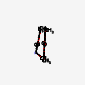 CCCCCCCC/C=C\CCCCCCCC(=O)OCCCCCCCCCCCCCCCCCC.CCCCCCCCCCCCCCCCCCOC(=O)CCCCCCCCCCCCCCC(C)C